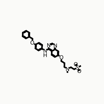 CN(CCCOc1ccc2c(Nc3ccc(OCc4ccccc4)cc3)ncnc2c1)CCS(C)(=O)=O